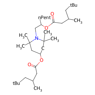 CCCCCC(CN1C(C)(C)CC(OC(=O)CC(C)CC(C)(C)C)CC1(C)C)OC(=O)CC(C)CC(C)(C)C